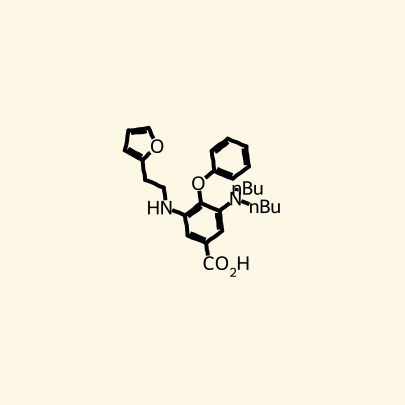 CCCCN(CCCC)c1cc(C(=O)O)cc(NCCc2ccco2)c1Oc1ccccc1